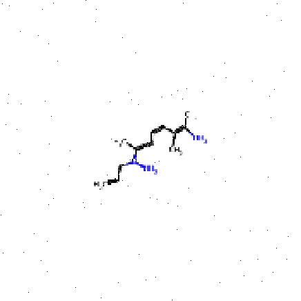 C=CCN(N)/C(C)=C/C=C\C(C)=C(/C)N